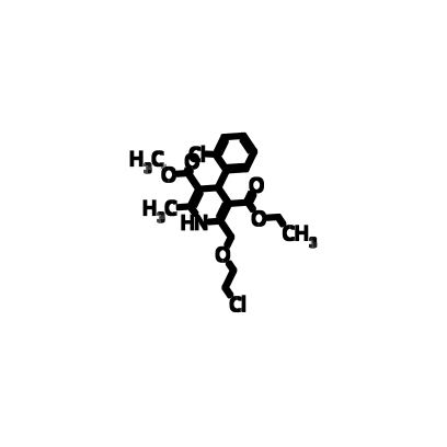 CCOC(=O)C1=C(COCCCl)NC(C)=C(C(=O)OC)C1c1ccccc1Cl